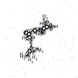 CCC(C)(C)c1cc(C(C)(C)C)ccc1OCCCCNC(=O)c1cc(Oc2ccc(/N=N/c3cc4c(NC(C)=O)cc(S(=O)(=O)O)cc4cc3S(=O)(=O)O)cc2)c2ccccc2c1O